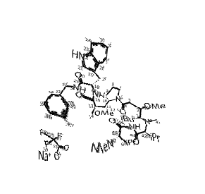 CC[C@H](C)[C@@H]([C@@H](CC(=O)N1CCC[C@H]1[C@H](OC)[C@@H](C)C(=O)N[C@@H](Cc1c[nH]c2ccccc12)C(=O)NCc1ccccc1)OC)N(C)[C@H](C(=O)NC(=O)[C@@H](NC)C(C)C)C(C)C.O=C([O-])C(F)(F)F.[Na+]